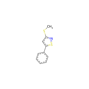 CSc1cc(-c2ccccc2)sn1